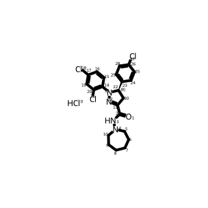 Cl.O=C(NN1CCCCCC1)C1=NN(c2ccc(Cl)cc2Cl)[C@@H](c2ccc(Cl)cc2)C1